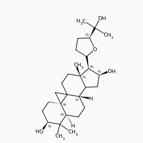 CC(C)(O)[C@@H]1CCC([C@H]2[C@@H](O)CC3[C@@H]4CC[C@H]5C(C)(C)[C@@H](O)CC[C@@]56CC46CC[C@@]32C)O1